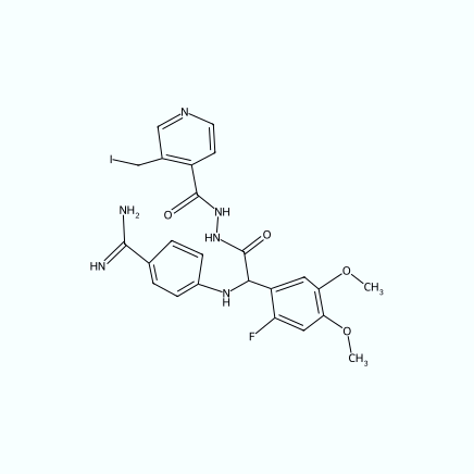 COc1cc(F)c(C(Nc2ccc(C(=N)N)cc2)C(=O)NNC(=O)c2ccncc2CI)cc1OC